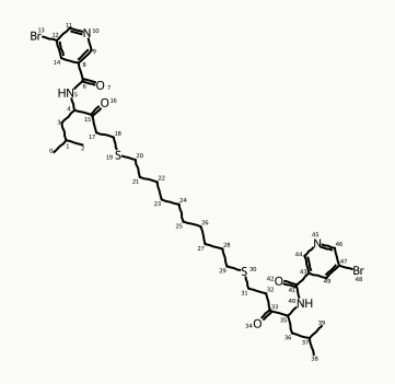 CC(C)CC(NC(=O)c1cncc(Br)c1)C(=O)CCSCCCCCCCCCCSCCC(=O)C(CC(C)C)NC(=O)c1cncc(Br)c1